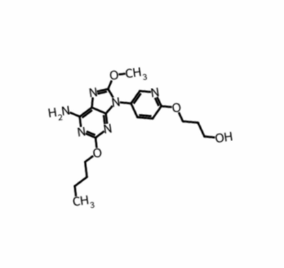 CCCCOc1nc(N)c2nc(OC)n(-c3ccc(OCCCO)nc3)c2n1